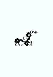 COc1cccc(CCOc2cc[nH]c(=O)c2-c2cc3cc(OC)ccc3[nH]2)c1